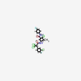 Cc1cc(NC(=O)C2C(c3ccc(F)c(Cl)c3)C2(Cl)Cl)cc(C(=O)Nc2ccc(F)cc2)c1Cl